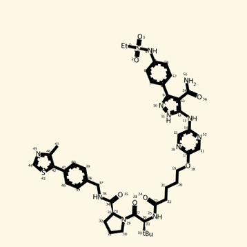 CCS(=O)(=O)Nc1ccc(-c2n[nH]c(Nc3cnc(OCCCCC(=O)N[C@H](C(=O)N4CCC[C@H]4C(=O)NCc4ccc(-c5scnc5C)cc4)C(C)(C)C)cn3)c2C(N)=O)cc1